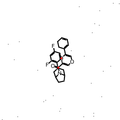 O=C(C1=COC=C(C2=CC=CCC2)O1)N1C2CCC1CC(c1ccc(F)cc1F)C2